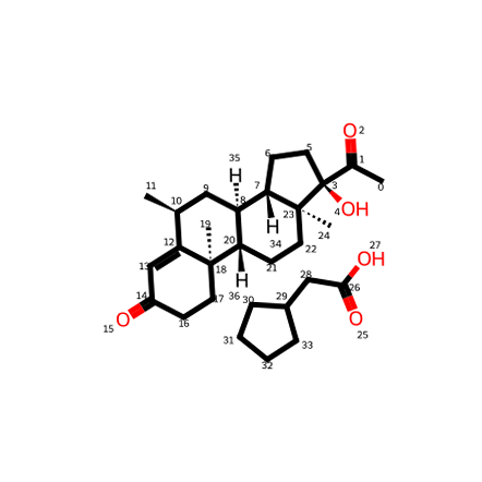 CC(=O)[C@@]1(O)CC[C@H]2[C@@H]3C[C@H](C)C4=CC(=O)CC[C@]4(C)[C@H]3CC[C@@]21C.O=C(O)CC1CCCC1